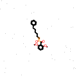 COc1cccc(OC)c1C(=O)[PH](=O)CCCCCCc1ccccc1